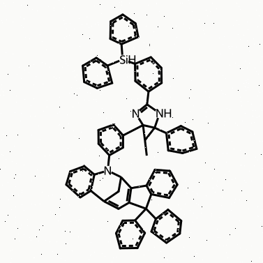 CC1C2(c3cccc(N4c5ccccc5C5=CC6=C(c7ccccc7C6(c6ccccc6)c6ccccc6)C4C5)c3)N=C(c3cccc([SiH](c4ccccc4)c4ccccc4)c3)NC12c1ccccc1